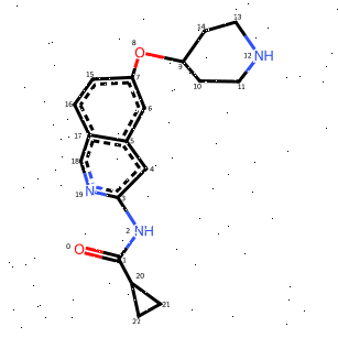 O=C(Nc1cc2cc(OC3CCNCC3)ccc2cn1)C1CC1